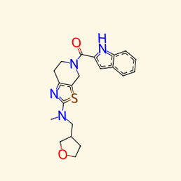 CN(CC1CCOC1)c1nc2c(s1)CN(C(=O)c1cc3ccccc3[nH]1)CC2